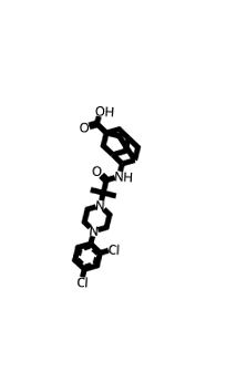 CC(C)(C(=O)NC1C2CC3CC1CC(C(=O)O)(C3)C2)N1CCN(c2ccc(Cl)cc2Cl)CC1